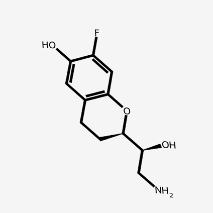 NC[C@H](O)[C@H]1CCc2cc(O)c(F)cc2O1